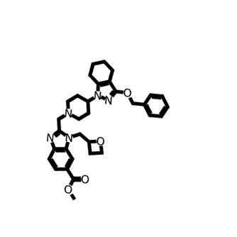 COC(=O)c1ccc2nc(CN3CCC(n4nc(OCc5ccccc5)c5c4CCCC5)CC3)n(CC3CCO3)c2c1